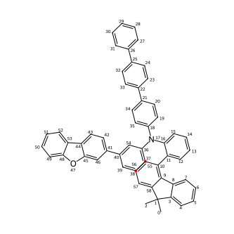 CC1(C)c2ccccc2-c2c(-c3ccccc3N(c3ccc(-c4ccc(-c5ccccc5)cc4)cc3)c3cccc(-c4ccc5c(c4)oc4ccccc45)c3)cccc21